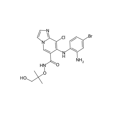 CC(C)(CO)ONC(=O)c1cn2ccnc2c(Cl)c1Nc1ccc(Br)cc1N